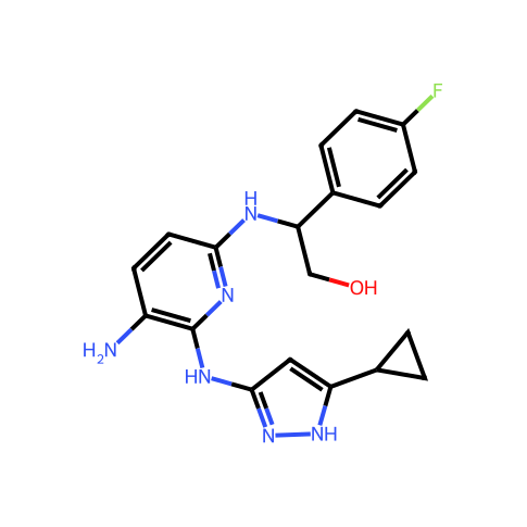 Nc1ccc(NC(CO)c2ccc(F)cc2)nc1Nc1cc(C2CC2)[nH]n1